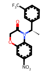 C[C@@H](c1cccc(C(F)(F)F)c1)N1C(=O)COc2cc([N+](=O)[O-])ccc21